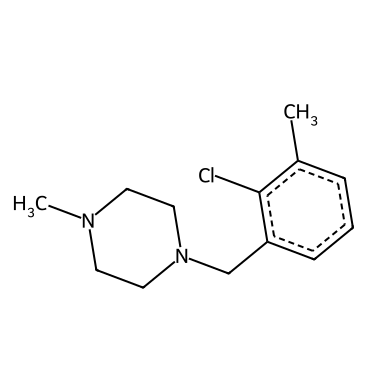 Cc1cccc(CN2CCN(C)CC2)c1Cl